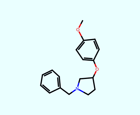 COc1ccc(OC2CCN(Cc3ccccc3)C2)cc1